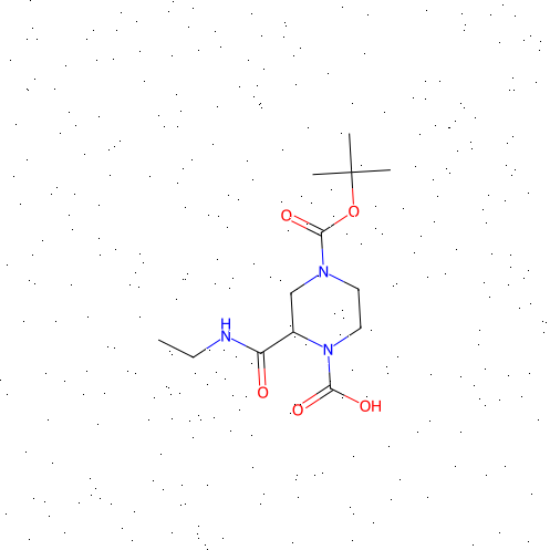 CCNC(=O)C1CN(C(=O)OC(C)(C)C)CCN1C(=O)O